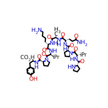 CC(C)[C@H](NC(=O)[C@H](CCCCN)NC(=O)[C@H](C)NC(=O)[C@H](CCC(N)=O)NC(=O)[C@@H]1CCCN1C(=O)[C@@H](NC(=O)[C@@H]1CCCN1)C(C)C)C(=O)N1CCC[C@H]1C(=O)N[C@@H](Cc1ccc(O)cc1)C(=O)O